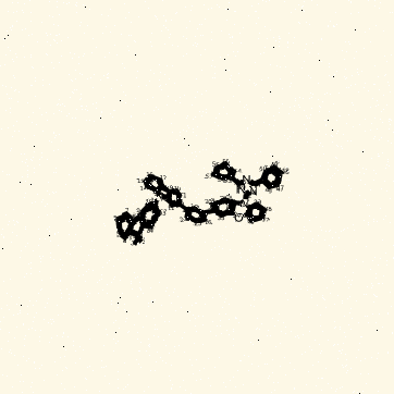 CC1(C)c2ccccc2-c2cc(-n3c4ccccc4c4ccc(-c5cccc(-c6ccc7c(c6)Oc6ccccc6N7c6nc(-c7ccccc7)nc(-c7ccccc7)n6)c5)cc43)ccc21